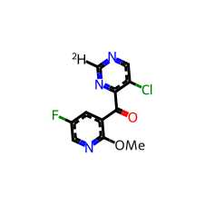 [2H]c1ncc(Cl)c(C(=O)c2cc(F)cnc2OC)n1